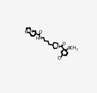 COc1ccc(Cl)cc1C(=O)N1CCC(CCCCNC(=O)c2ccc3nccn3c2)CC1